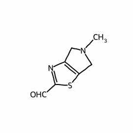 CN1Cc2nc(C=O)sc2C1